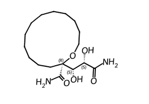 NC(=O)[C@@H](O)[C@H](O)[C@@]1(C(N)=O)CCCCCCCCCCCCO1